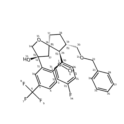 COc1ccc(C(F)(F)F)cc1[C@]1(O)CO[C@]2(CC[C@H](COCc3ccccc3)[C@H]2c2ccc(F)cc2)C1